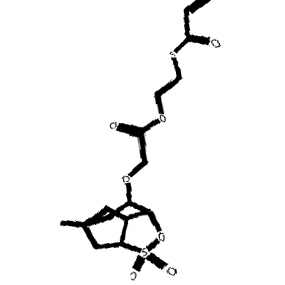 C=CC(=O)SCCOC(=O)COC1C2OS(=O)(=O)C3CC1(C)CC23